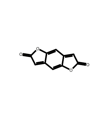 O=C1[C]=c2cc3c(cc2O1)=[C]C(=O)O3